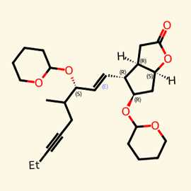 CCC#CCC(C)[C@@H](/C=C/[C@@H]1[C@H]2CC(=O)O[C@H]2C[C@H]1OC1CCCCO1)OC1CCCCO1